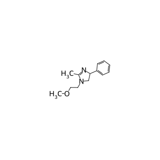 COCCN1CC(c2ccccc2)N=C1C